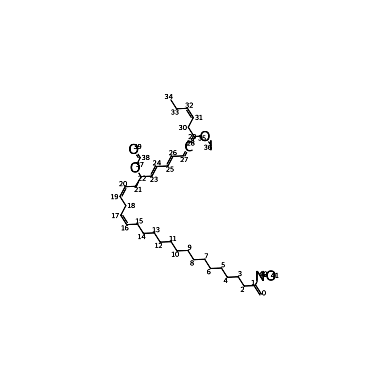 C=C(CCCCCCCCCCCCCC/C=C\C/C=C\C[C@H](/C=C/C=C/C=C=C(C/C=C\CC)OI)OC=O)N=O